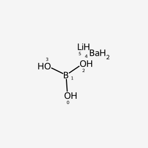 OB(O)O.[BaH2].[LiH]